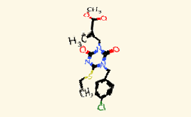 CCSc1nc(=O)n(CC(C)C(=O)OC)c(=O)n1Cc1ccc(Cl)cc1